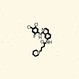 O=C(CCCN1CCCCC1)Nc1ccc2ccnc(Nc3cc(Cl)c(Cl)cc3F)c2c1